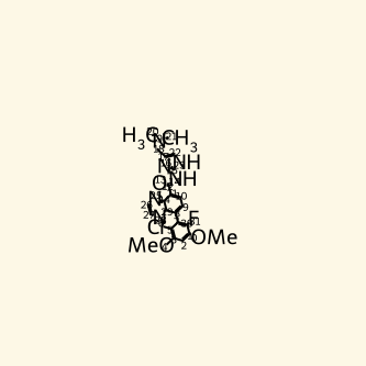 COc1cc(OC)c(Cl)c(-c2ccc(C(=O)Nc3nc(CN(C)C)c[nH]3)c3nccnc23)c1F